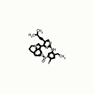 CCc1cc(F)c([N+](=O)[O-])cc1Nc1ncc(C#CC(C)C)c(-c2cn3c4c(cccc24)CCC3)n1